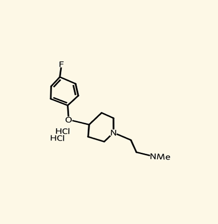 CNCCN1CCC(Oc2ccc(F)cc2)CC1.Cl.Cl